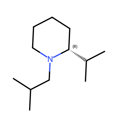 CC(C)CN1CCCC[C@@H]1C(C)C